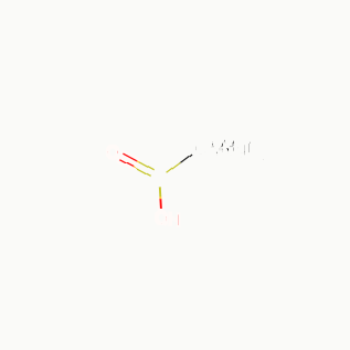 COS(=O)O.[MgH2]